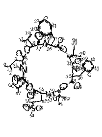 CC(C)CC1C(=O)OC(C(C)C)C(=O)N(C)C(Cc2ccccc2)C(=O)OC(C(C)C)C(=O)N(C)C(Cc2ccccc2)C(=O)OC(C(C)C)C(=O)N(C)C(CCS(C)(=O)=O)C(=O)OC(C(C)C)C(=O)N1C